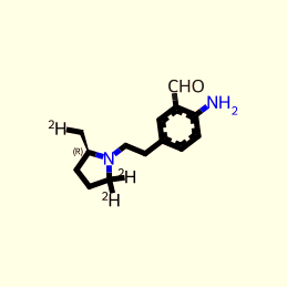 [2H]C[C@@H]1CCC([2H])([2H])N1CCc1ccc(N)c(C=O)c1